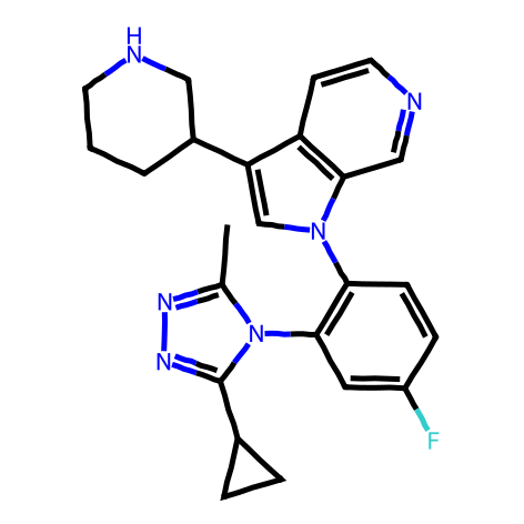 Cc1nnc(C2CC2)n1-c1cc(F)ccc1-n1cc(C2CCCNC2)c2ccncc21